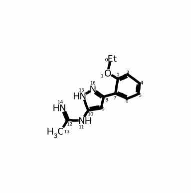 CCOc1ccccc1-c1cc(NC(C)=N)[nH]n1